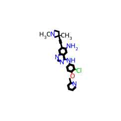 CN1CC[C@](C)(C#Cc2cc3ncnc(Nc4ccc(OCc5ccccn5)c(Cl)c4)c3cc2N)C1